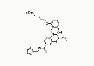 CCCCCCCCCCCCCCOc1cccc(F)c1CN1c2ccc(C(=O)NCc3ccco3)cc2SC(C)C1O